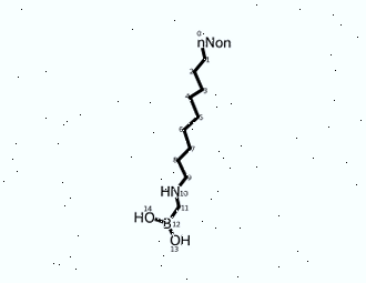 CCCCCCCCCCCCCCCCCCNCB(O)O